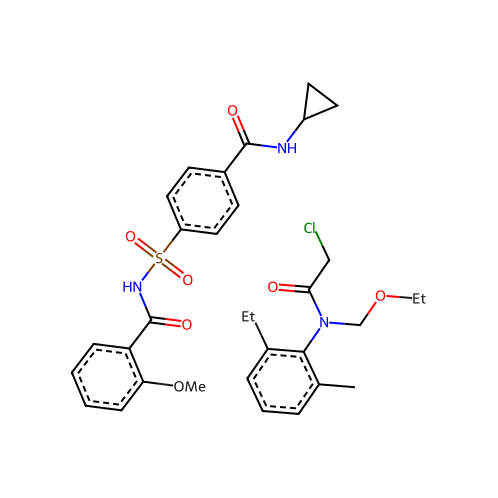 CCOCN(C(=O)CCl)c1c(C)cccc1CC.COc1ccccc1C(=O)NS(=O)(=O)c1ccc(C(=O)NC2CC2)cc1